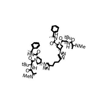 CN[C@@H](C)C(=O)N[C@H](C(=O)N1C[C@@H](n2cc(CCCc3cn([C@H]4C[C@@H](C(=O)N[C@H](C)c5ccccc5)N(C(=O)[C@@H](NC(=O)[C@H](C)NC)C(C)(C)C)C4)nn3)nn2)C[C@H]1C(=O)N[C@H](C)c1ccccc1)C(C)(C)C